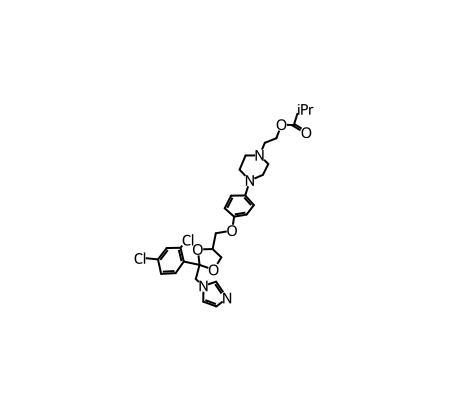 CC(C)C(=O)OCCN1CCN(c2ccc(OCC3COC(Cn4ccnc4)(c4ccc(Cl)cc4Cl)O3)cc2)CC1